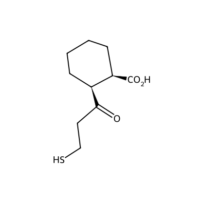 O=C(CCS)[C@H]1CCCC[C@H]1C(=O)O